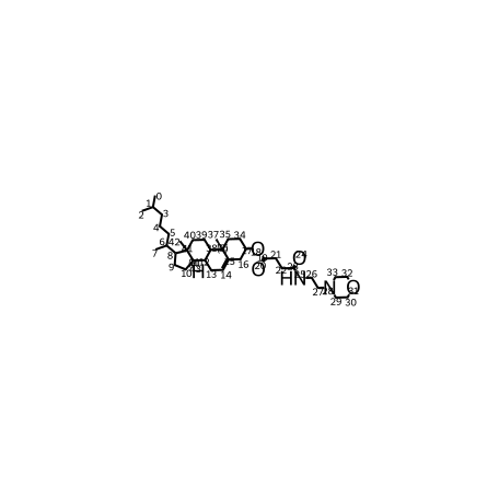 CC(C)CCCC(C)C1CC[C@@H]2C3CC=C4CC(OC(=O)CCC(=O)NCCN5CCOCC5)CC[C@@]4(C)C3CCC12C